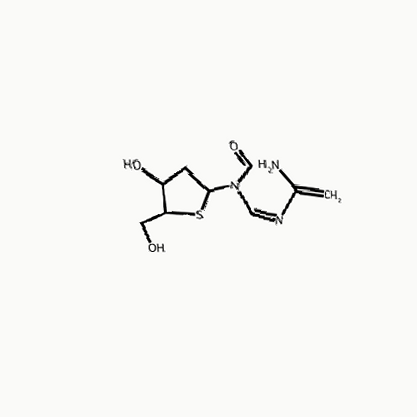 C=C(N)/N=C\N(C=O)C1CC(O)C(CO)S1